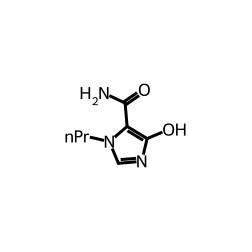 CCCn1cnc(O)c1C(N)=O